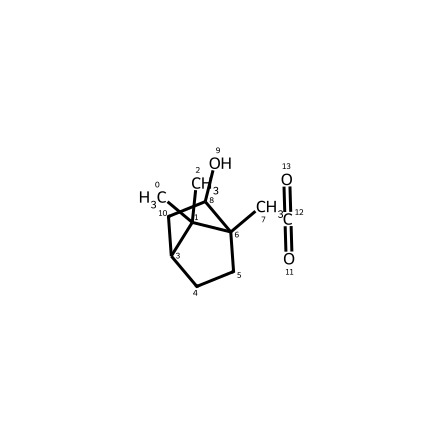 CC1(C)C2CCC1(C)C(O)C2.O=C=O